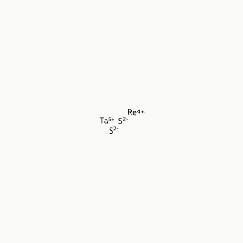 [Re+4].[S-2].[S-2].[Ta+5]